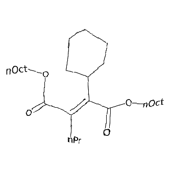 CCCCCCCCOC(=O)C(CCC)=C(C(=O)OCCCCCCCC)C1CCCCC1